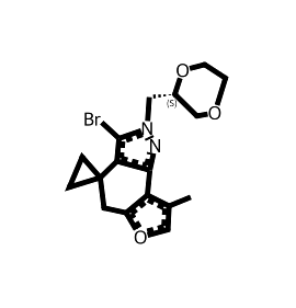 Cc1coc2c1-c1nn(C[C@H]3COCCO3)c(Br)c1C1(CC1)C2